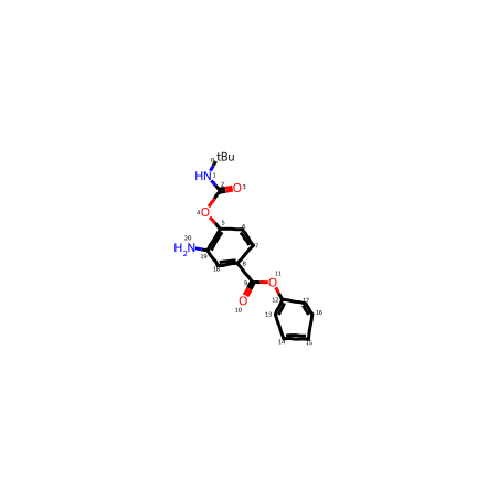 CC(C)(C)NC(=O)Oc1ccc(C(=O)Oc2ccccc2)cc1N